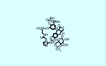 COc1cc([C@@H]2c3cc4c(cc3[C@@H](O[C@@H]3O[C@@H]5CO[C@@H](C)O[C@H]5[C@H](O)[C@H]3O)[C@H]3COC(=O)[C@H]23)OCO4)cc(OC)c1OP(=O)(O)O.O=C(Cn1ccnc1[N+](=O)[O-])NCCO